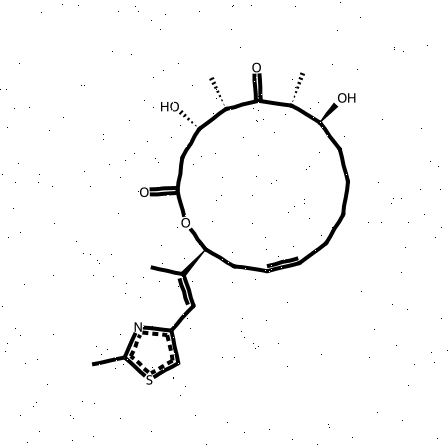 C/C(=C\c1csc(C)n1)[C@@H]1C/C=C\CCCC[C@H](O)[C@@H](C)C(=O)[C@@H](C)[C@@H](O)CC(=O)O1